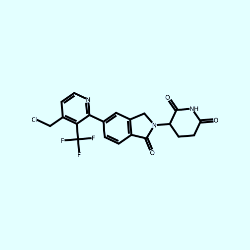 O=C1CCC(N2Cc3cc(-c4nccc(CCl)c4C(F)(F)F)ccc3C2=O)C(=O)N1